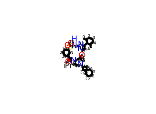 Cc1cccc(C)c1-c1cc2nc(n1)NS(=O)(=O)c1cccc(c1)C(=O)N1C[C@@H](CN(C3CC4(CCCCC4)C3)C[C@@H]1C(C)C)O2